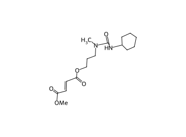 COC(=O)/C=C/C(=O)OCCCN(C)C(=O)NC1CCCCC1